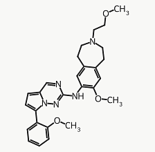 COCCN1CCc2cc(Nc3ncc4ccc(-c5ccccc5OC)n4n3)c(OC)cc2CC1